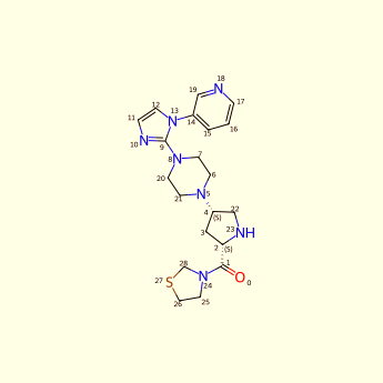 O=C([C@@H]1C[C@H](N2CCN(c3nccn3-c3cccnc3)CC2)CN1)N1CCSC1